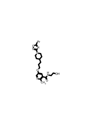 Cc1ncc(OCCCC2CCN(c3noc(C(C)C)n3)CC2)cc1C(=O)NCCO